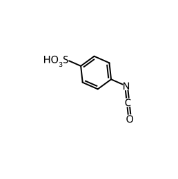 O=C=Nc1ccc(S(=O)(=O)O)cc1